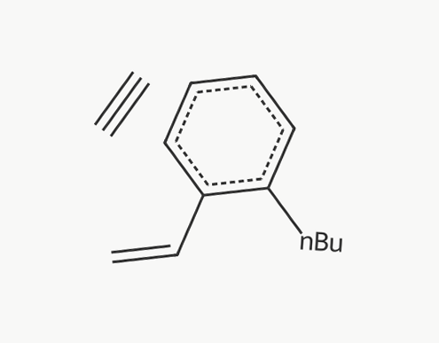 C#C.C=Cc1ccccc1CCCC